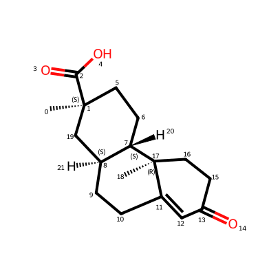 C[C@]1(C(=O)O)CC[C@H]2[C@@H](CCC3=CC(=O)CC[C@@]32C)C1